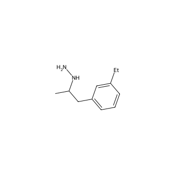 CCc1cccc(CC(C)NN)c1